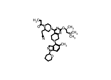 C=CC(=O)N1CCN(c2nc(O[C@H](C)CN(C)C)nc3c2CCN(c2c(C)ccc4c2cnn4C2CCCCO2)C3)CC1CC#N